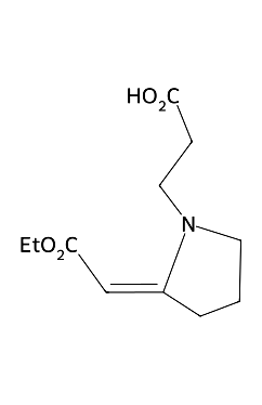 CCOC(=O)C=C1CCCN1CCC(=O)O